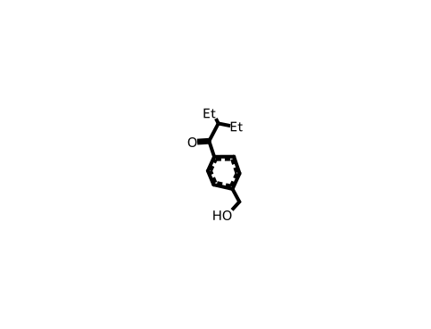 CCC(CC)C(=O)c1ccc(CO)cc1